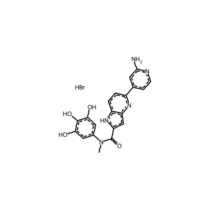 Br.CN(C(=O)c1cc2nc(-c3ccnc(N)c3)ccc2[nH]1)c1cc(O)c(O)c(O)c1